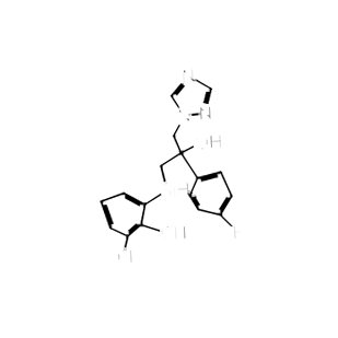 Cc1cccc([SiH2]CC(O)(Cn2cncn2)c2ccc(F)cc2)c1C